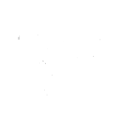 CC(C)Oc1nc(Cl)cc2ccccc12